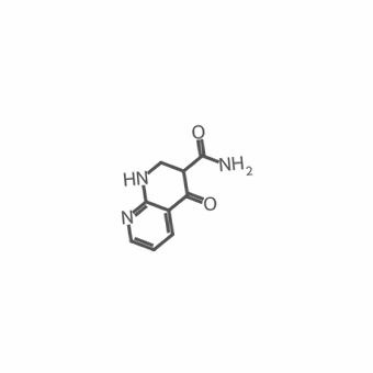 NC(=O)C1CNc2ncccc2C1=O